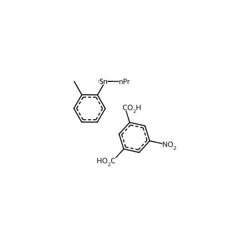 CC[CH2][Sn][c]1ccccc1C.O=C(O)c1cc(C(=O)O)cc([N+](=O)[O-])c1